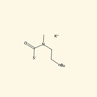 CCCCCCN(C)C(=O)[S-].[K+]